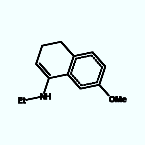 CCNC1=CCCc2ccc(OC)cc21